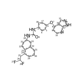 O=C(Nc1ccc(Oc2ccnc3[nH]ncc23)cc1)Nc1ccc2c(CC(F)F)cccc2c1